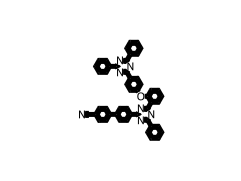 N#Cc1ccc(-c2ccc(-c3nc(-c4ccccc4)nc(-c4ccccc4Oc4ccc(-c5nc(-c6ccccc6)nc(-c6ccccc6)n5)cc4)n3)cc2)cc1